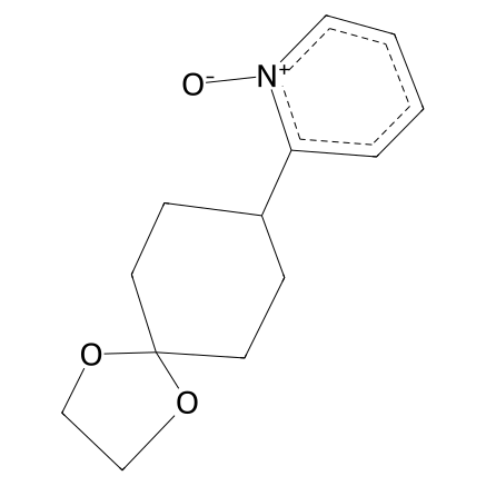 [O-][n+]1ccccc1C1CCC2(CC1)OCCO2